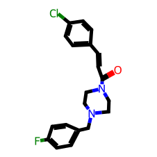 O=C(/C=C/c1ccc(Cl)cc1)N1CCN(Cc2ccc(F)cc2)CC1